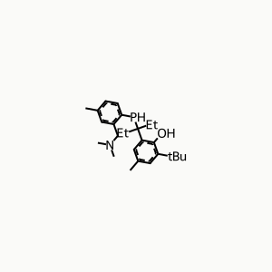 CCC(CC)(Pc1ccc(C)cc1CN(C)C)c1cc(C)cc(C(C)(C)C)c1O